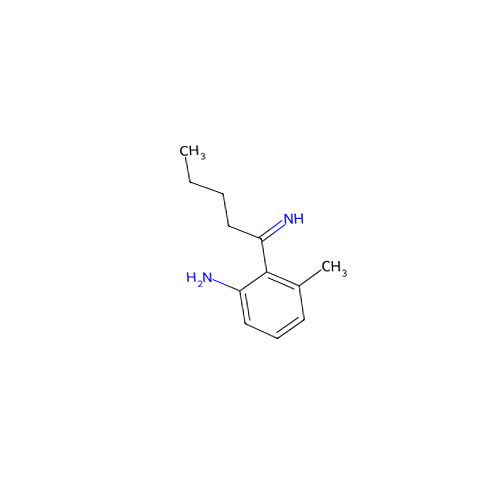 CCCCC(=N)c1c(C)cccc1N